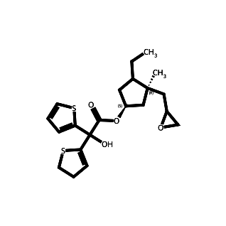 CCC1C[C@H](OC(=O)C(O)(C2=CCCS2)c2cccs2)C[C@]1(C)CC1CO1